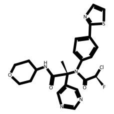 C[C@](C(=O)NC1CCOCC1)(c1cncnc1)N(C(=O)[C@H](F)Cl)c1ccc(-c2nccs2)cc1